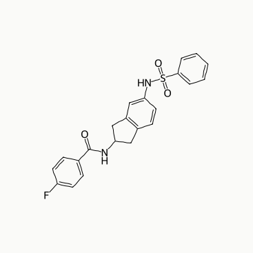 O=C(NC1Cc2ccc(NS(=O)(=O)c3ccccc3)cc2C1)c1ccc(F)cc1